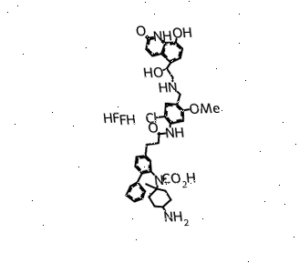 COc1cc(NC(=O)CCc2ccc(-c3ccccc3)c(N(C(=O)O)C3(C)CCC(N)CC3)c2)c(Cl)cc1CNC[C@@H](O)c1ccc(O)c2[nH]c(=O)ccc12.F.F